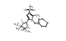 Cc1c(S(N)(=O)=O)cc(B2OC(C)(C)C(C)(C)O2)n1CC1CCCCC1